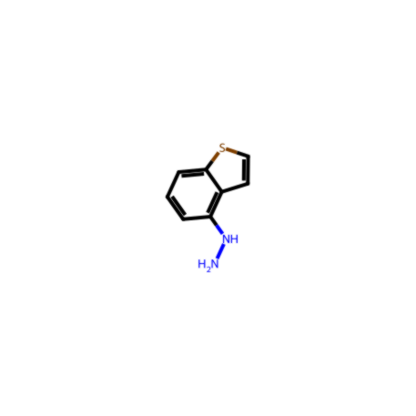 NNc1cccc2sccc12